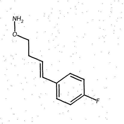 NOCC/C=C/c1ccc(F)cc1